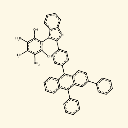 Bc1c(B)c(O)c(-n2c(-c3ccc(-c4c5ccccc5c(-c5ccccc5)c5cc(-c6ccccc6)ccc45)cc3)nc3ccccc32)c(O)c1B